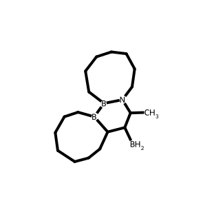 BC1C2CCCCCCCB2B2CCCCCCCN2C1C